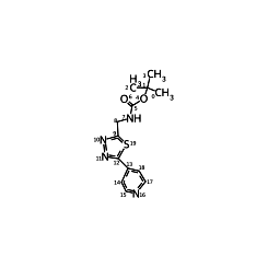 CC(C)(C)OC(=O)NCc1nnc(-c2ccncc2)s1